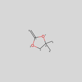 C=C1OCC(C)(C)O1